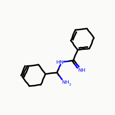 N=C(NC(N)C1CC#CCC1)C1=CCCC=C1